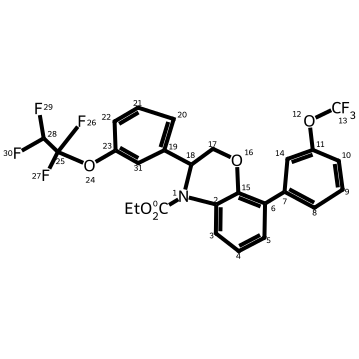 CCOC(=O)N1c2cccc(-c3cccc(OC(F)(F)F)c3)c2OCC1c1cccc(OC(F)(F)C(F)F)c1